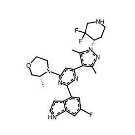 Cc1nn([C@H]2CCNCC2(F)F)c(C)c1-c1cc(N2CCOC[C@H]2C)nc(-c2cc(F)cc3[nH]ccc23)n1